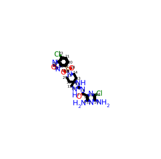 Nc1nc(N)c(C(=O)/N=C2\NCC3(CCN(S(=O)(=O)c4ccc(Cl)c5nonc45)CC3)N2)nc1Cl